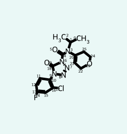 CC(C)N(C(=O)n1nnn(-c2ccc(F)cc2Cl)c1=O)C1=CCOCC1